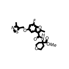 COC(=O)C1(NC(=O)c2c(C)oc3c(F)cc(OCc4scnc4C)cc23)CCOCC1